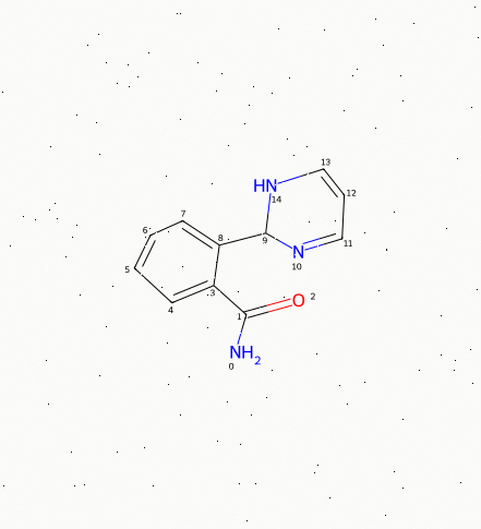 NC(=O)c1ccccc1C1N=CC=CN1